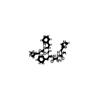 CC(C)[C@H](NC(=O)N(C)Cc1cncs1)C(=O)N[C@@H](CC[C@@H](Cc1ccccc1)NC(=O)OCc1cncs1)Cc1ccccc1